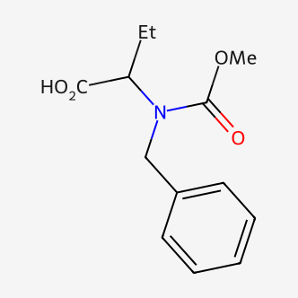 CCC(C(=O)O)N(Cc1ccccc1)C(=O)OC